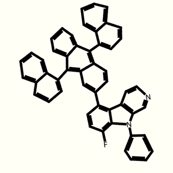 Fc1ccc(-c2ccc3c(-c4cccc5ccccc45)c4ccccc4c(-c4cccc5ccccc45)c3c2)c2c3ccncc3n(-c3ccccc3)c12